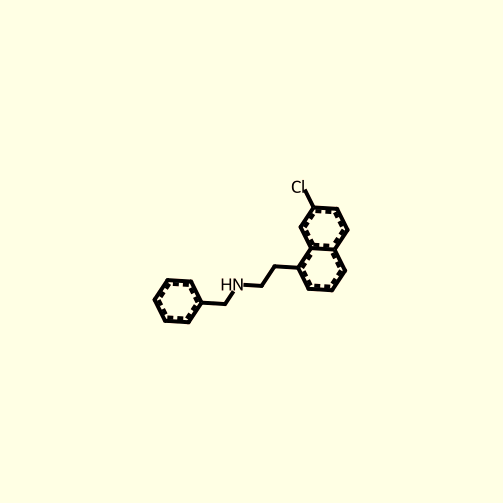 Clc1ccc2cccc(CCNCc3ccccc3)c2c1